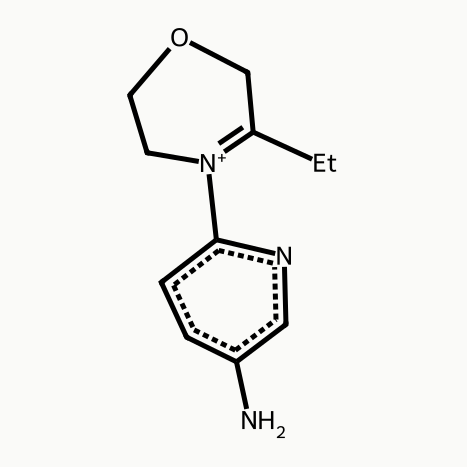 CCC1=[N+](c2ccc(N)cn2)CCOC1